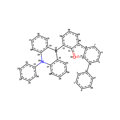 c1ccc(-c2cccc3c2oc2c(B4c5ccccc5N(c5ccccc5)c5ccccc54)cccc23)cc1